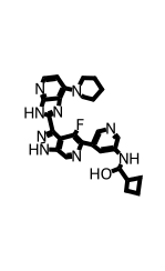 OC(Nc1cncc(-c2ncc3[nH]nc(-c4nc5c(N6CCCCC6)ccnc5[nH]4)c3c2F)c1)C1CCC1